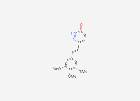 COc1cc(C=Cc2ccc(=O)[nH]n2)cc(SC)c1OC